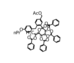 CCCOc1ccc(Cc2ccc(COC(C)=O)cc2[C@@]2(O)O[C@H]([C@H](C)OC(=O)c3ccccc3)[C@@H](OC(=O)c3ccccc3)[C@H](OC(=O)c3ccccc3)[C@H]2OC(=O)c2ccccc2)cc1